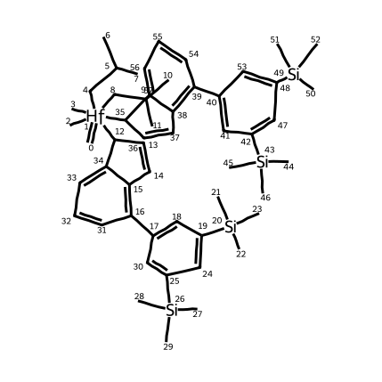 [CH2]=[Hf]([CH3])([CH3])([CH2]C(C)C)([CH2]C(C)C)([CH]1C=Cc2c(-c3cc([Si](C)(C)C)cc([Si](C)(C)C)c3)cccc21)[CH]1C=Cc2c(-c3cc([Si](C)(C)C)cc([Si](C)(C)C)c3)cccc21